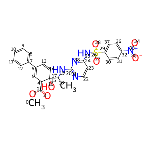 COC(=O)[C@H]1C=C(c2ccccc2)C=CC1(O)C(C)Nc1nccc(NS(=O)(=O)c2ccc([N+](=O)[O-])cc2)n1